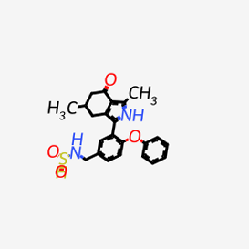 Cc1[nH]c(-c2cc(CN[SH](=O)=O)ccc2Oc2ccccc2)c2c1C(=O)CC(C)C2